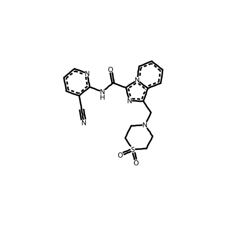 N#Cc1cccnc1NC(=O)c1nc(CN2CCS(=O)(=O)CC2)c2ccccn12